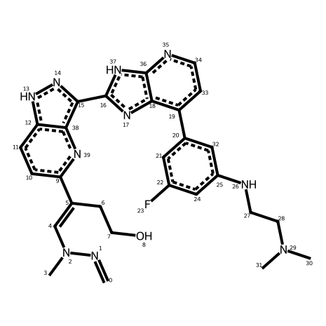 C=NN(C)/C=C(\CCO)c1ccc2[nH]nc(-c3nc4c(-c5cc(F)cc(NCCN(C)C)c5)ccnc4[nH]3)c2n1